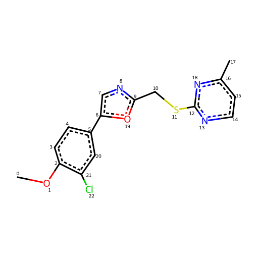 COc1ccc(-c2cnc(CSc3nccc(C)n3)o2)cc1Cl